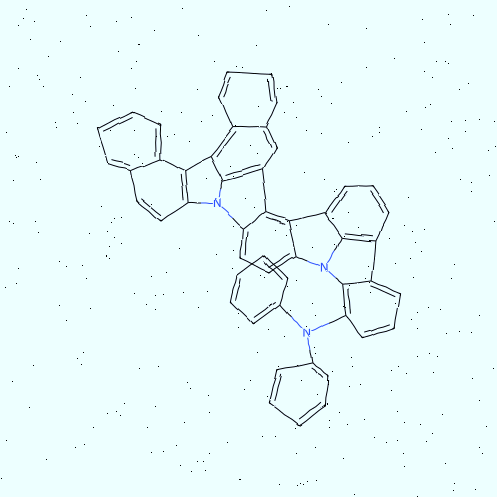 c1ccc(N(c2ccccc2)c2cccc3c4cccc5c6c7c8cc9ccccc9c9c%10c%11ccccc%11ccc%10n(c7ccc6n(c23)c45)c89)cc1